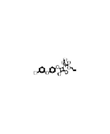 C=CCOC(=O)N(OCC)C1C(=O)C(=O)C1Oc1ccc(Oc2cccc(Cl)c2)cc1